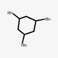 CC(C)(C)C1[CH]C(C(C)(C)C)CC(C(C)(C)C)C1